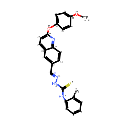 CC(C)c1ccccc1NC(=S)N/N=C/c1ccc2nc(Oc3ccc(OC(F)(F)F)cc3)ccc2c1